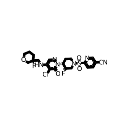 N#Cc1ccc(S(=O)(=O)N2CC[C@@H](n3ncc(NC[C@@]4(F)CCCOC4)c(Cl)c3=O)[C@H](F)C2)nc1